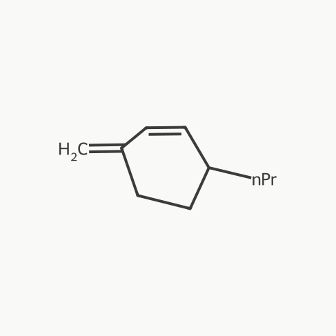 C=C1C=CC(CCC)CC1